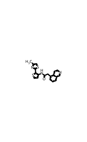 Cc1csc(-c2sccc2NC(=O)Cc2cccc3cnccc23)n1